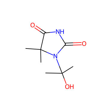 CC(C)(O)N1C(=O)NC(=O)C1(C)C